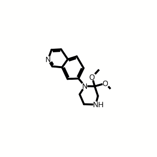 COC1(OC)CNCCN1c1ccc2ccncc2c1